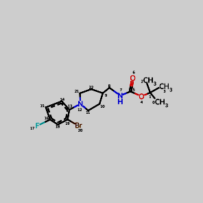 CC(C)(C)OC(=O)NCC1CCN(c2ccc(F)cc2Br)CC1